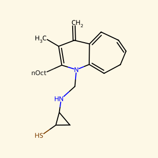 C=C1C2=CC=CCC=C2N(CNC2CC2S)C(CCCCCCCC)=C1C